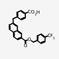 O=C(O)c1ccc(Cc2ccc3ccc(C(=O)OCc4ccc(C(F)(F)F)cc4)cc3c2)cc1